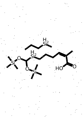 CC(=CCCC[SiH2]C(O[Si](C)(C)C)O[Si](C)(C)C)C(=O)O.CCC[SiH2]C